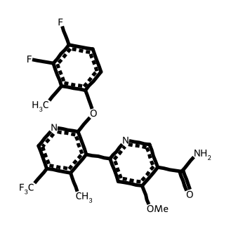 COc1cc(-c2c(Oc3ccc(F)c(F)c3C)ncc(C(F)(F)F)c2C)ncc1C(N)=O